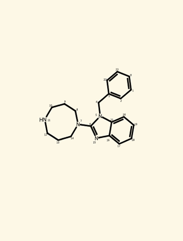 c1ccc(Cn2c(N3CCCNCCC3)nc3ccccc32)cc1